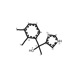 Cc1cccc(C(C)(O)c2c[nH]cn2)c1C